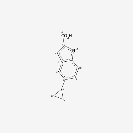 O=C(O)c1cn2cc(C3CC3)ccc2n1